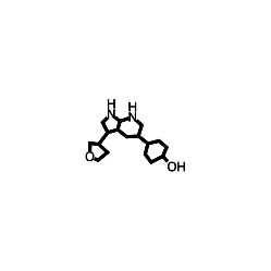 OC1CCC(C2CNC3NCC(C4CCOC4)C3C2)CC1